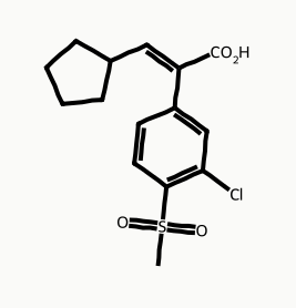 CS(=O)(=O)c1ccc(/C(=C\C2CCCC2)C(=O)O)cc1Cl